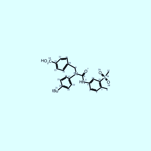 Cc1ccc(NC(=O)N(Cc2ccc(C(=O)O)cc2)c2ccc(C(C)(C)C)cc2)cc1S(C)(=O)=O